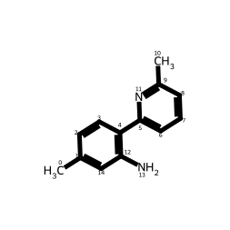 Cc1ccc(-c2cccc(C)n2)c(N)c1